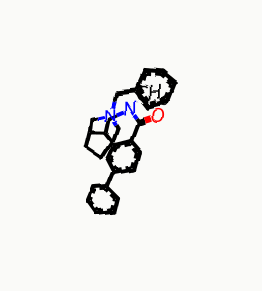 CN(CC1C2CCC1CN(Cc1ccccc1)C2)C(=O)c1ccc(-c2ccccc2)cc1